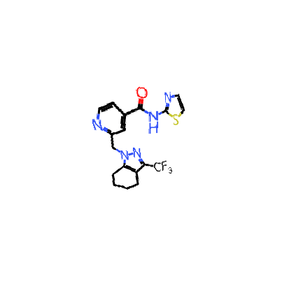 O=C(Nc1nccs1)c1ccnc(Cn2nc(C(F)(F)F)c3c2CCCC3)c1